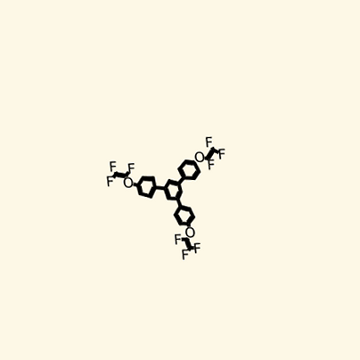 FC(F)=C(F)Oc1ccc(-c2cc(-c3ccc(OC(F)=C(F)F)cc3)cc(-c3ccc(OC(F)=C(F)F)cc3)c2)cc1